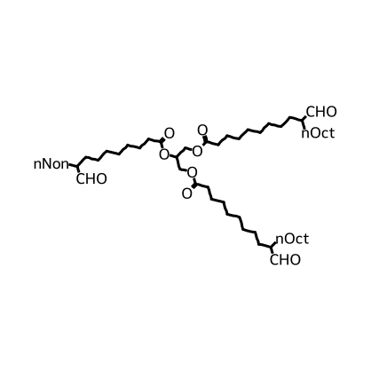 CCCCCCCCCC(C=O)CCCCCCCC(=O)OC(COC(=O)CCCCCCCCC(C=O)CCCCCCCC)COC(=O)CCCCCCCCC(C=O)CCCCCCCC